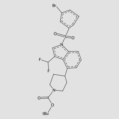 CC(C)(C)OC(=O)N1CCC(c2cccc3c2c(C(F)F)cn3S(=O)(=O)c2cccc(Br)c2)CC1